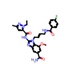 CCn1nc(C)cc1C(=O)Nc1nc2cc(C(N)=O)cc(OC)c2n1CC=CCNC(=O)c1ccc(F)cc1